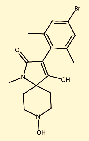 Cc1cc(Br)cc(C)c1C1=C(O)C2(CCN(O)CC2)N(C)C1=O